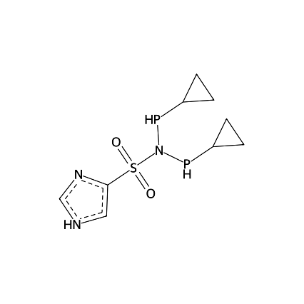 O=S(=O)(c1c[nH]cn1)N(PC1CC1)PC1CC1